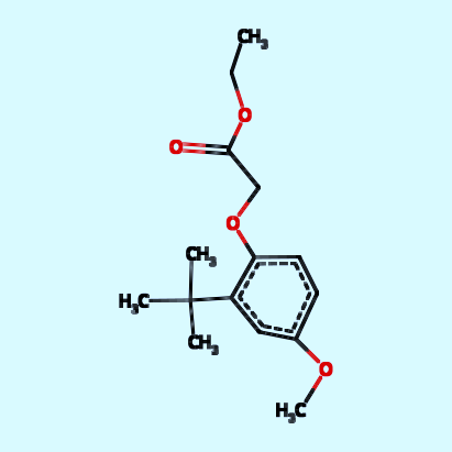 CCOC(=O)COc1ccc(OC)cc1C(C)(C)C